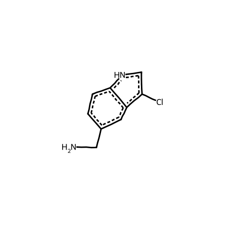 NCc1ccc2[nH]cc(Cl)c2c1